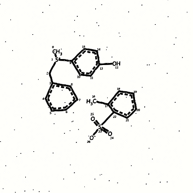 C[S+](Cc1ccccc1)c1ccc(O)cc1.Cc1ccccc1S(=O)(=O)[O-]